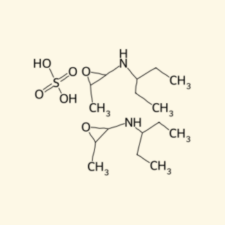 CCC(CC)NC1OC1C.CCC(CC)NC1OC1C.O=S(=O)(O)O